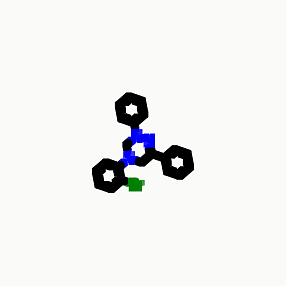 Brc1ccccc1N1CC(c2ccccc2)=NN(c2ccccc2)C1